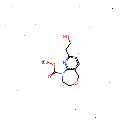 CC(C)(C)OC(=O)N1CCOCc2ccc(CCO)nc21